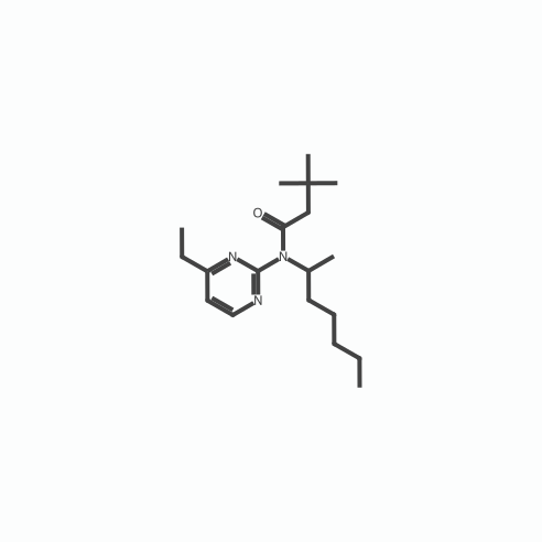 CCCCCC(C)N(C(=O)CC(C)(C)C)c1nccc(CC)n1